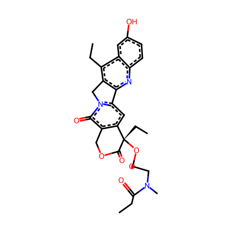 CCC(=O)N(C)CC(=O)O[C@]1(CC)C(=O)OCc2c1cc1n(c2=O)Cc2c-1nc1ccc(O)cc1c2CC